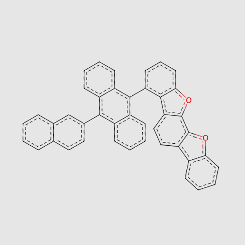 c1ccc2cc(-c3c4ccccc4c(-c4cccc5oc6c(ccc7c8ccccc8oc76)c45)c4ccccc34)ccc2c1